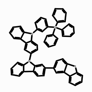 c1ccc([Si](c2ccccc2)(c2ccccc2)c2cccc(-n3c4ccccc4c4cc(-n5c6ccccc6c6ccc(-c7ccc8sc9ccccc9c8c7)cc65)ccc43)c2)cc1